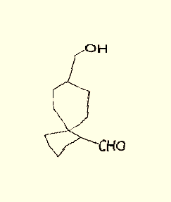 O=CC1CCC12CCC(CO)CC2